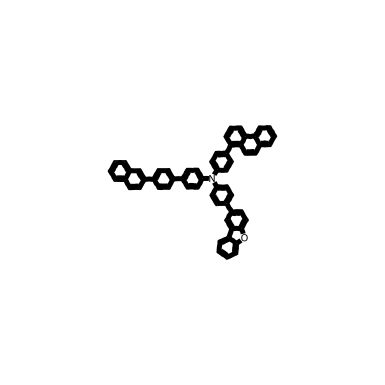 c1ccc2cc(-c3ccc(-c4ccc(N(c5ccc(-c6ccc7oc8ccccc8c7c6)cc5)c5ccc(-c6cccc7c6ccc6ccccc67)cc5)cc4)cc3)ccc2c1